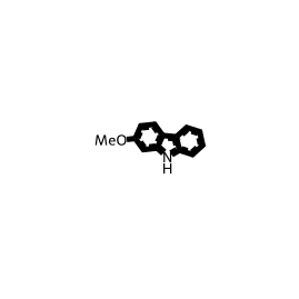 COc1ccc2c(c1)[nH]c1ccccc12